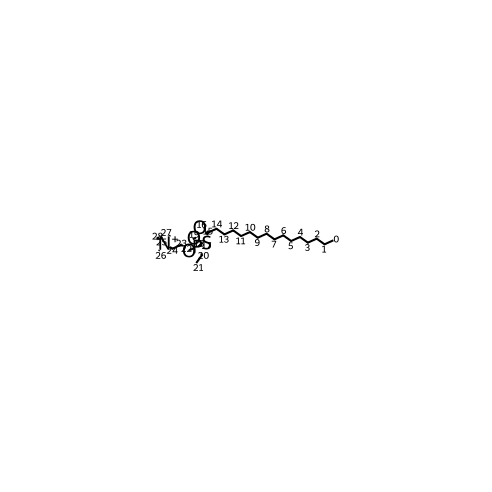 CCCCCCCCCCCCCCCC(=O)SP(=O)(CC)OCC[N+](C)(C)C